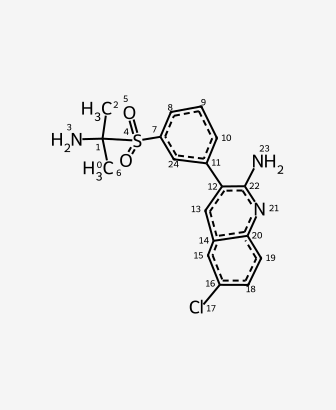 CC(C)(N)S(=O)(=O)c1cccc(-c2cc3cc(Cl)ccc3nc2N)c1